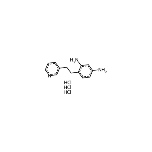 Cl.Cl.Cl.Nc1ccc(CCc2cccnc2)c(N)c1